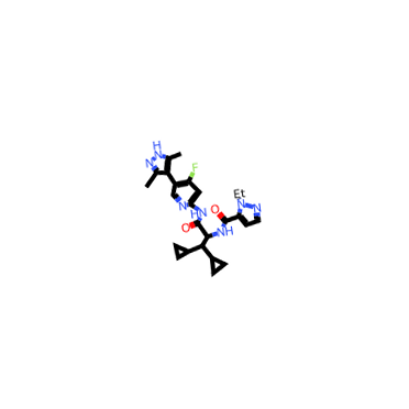 CCn1nccc1C(=O)NC(C(=O)Nc1cc(F)c(-c2c(C)n[nH]c2C)cn1)C(C1CC1)C1CC1